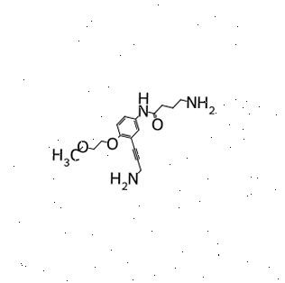 COCCOc1ccc(NC(=O)CCCN)cc1C#CCN